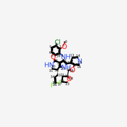 COc1c(Cl)cccc1Nc1c(-c2ccncc2OC[C@@H]2CCCO2)[nH]c2c1C(=O)NC[C@H]2CC=C(F)F